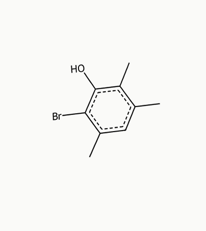 Cc1cc(C)c(Br)c(O)c1C